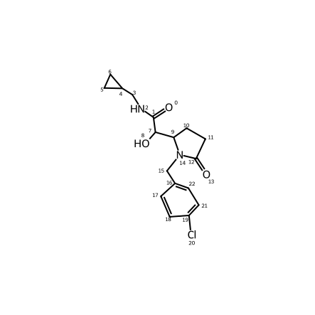 O=C(NCC1CC1)C(O)C1CCC(=O)N1Cc1ccc(Cl)cc1